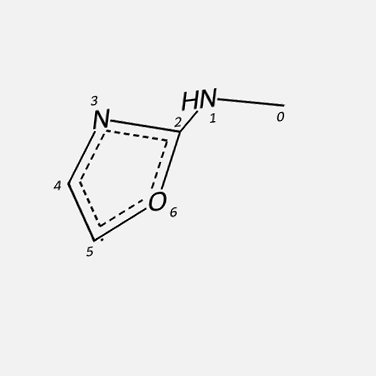 CNc1nc[c]o1